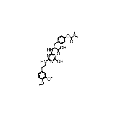 COc1ccc(CCNc2nc(O)nc(N[C@@H](Cc3ccc(OC(=O)N(C)C)cc3)C(=O)O)n2)cc1OC